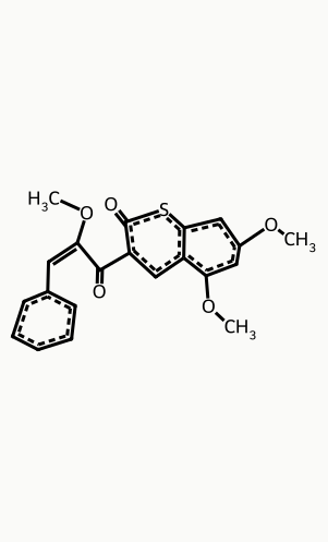 CO/C(=C/c1ccccc1)C(=O)c1cc2c(OC)cc(OC)cc2sc1=O